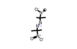 CC(C)(/N=N/C(C)(C)[N+](=O)[O-])[N+](=O)[O-]